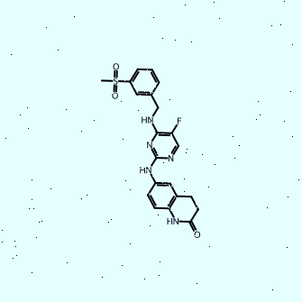 CS(=O)(=O)c1cccc(CNc2nc(Nc3ccc4c(c3)CCC(=O)N4)ncc2F)c1